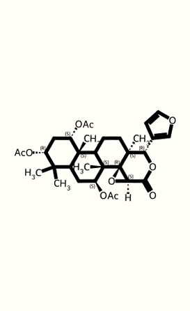 CC(=O)O[C@H]1C[C@@H](OC(C)=O)C(C)(C)C2C[C@H](OC(C)=O)[C@]3(C)C(CC[C@@]4(C)[C@H](c5ccoc5)OC(=O)[C@H]5O[C@]543)[C@]21C